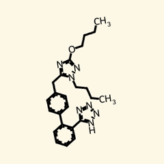 CCCCOc1nc(Cc2ccc(-c3ccccc3-c3nnn[nH]3)cc2)n(CCCC)n1